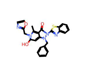 CC1=c2c(n(Cc3ccccc3)n(-c3nc4ccccc4s3)c2=O)=CC(O)N1Cc1ncco1